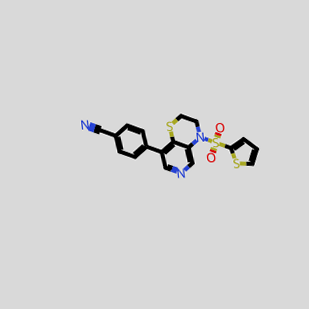 N#Cc1ccc(-c2cncc3c2SCCN3S(=O)(=O)c2cccs2)cc1